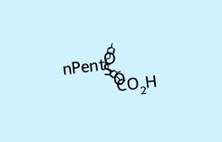 CCCCCC(COc1ccc(C)cc1)CSc1ccc(OCC(=O)O)c(C)c1